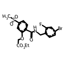 CCOC(=O)COc1cc(S(C)(=O)=O)ccc1C(=O)NCc1ccc(Br)cc1F